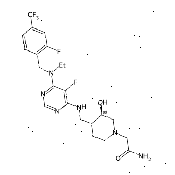 CCN(Cc1ccc(C(F)(F)F)cc1F)c1ncnc(NCC2CCN(CC(N)=O)C[C@@H]2O)c1F